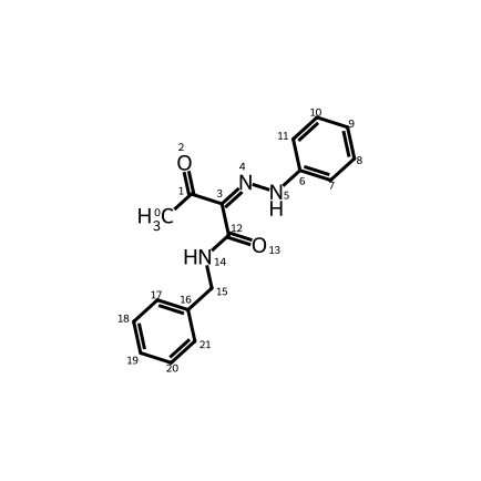 CC(=O)/C(=N/Nc1ccccc1)C(=O)NCc1ccccc1